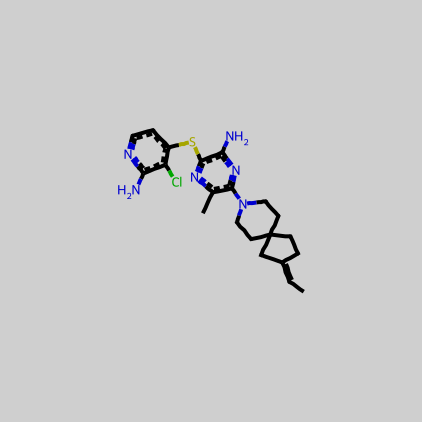 C/C=C1\CCC2(CCN(c3nc(N)c(Sc4ccnc(N)c4Cl)nc3C)CC2)C1